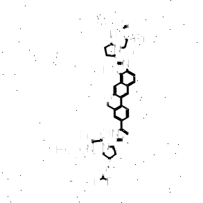 COC(=O)N[C@H](C(=O)N1[C@@H](C)CC[C@H]1c1nc2ccc3cc4c(cc3c2[nH]1)OCc1cc(-c2cnc([C@@H]3C[C@H](COC(F)F)CN3C(=O)[C@H](C(C)C)N(C)C(=O)O)[nH]2)ccc1-4)C(C)C